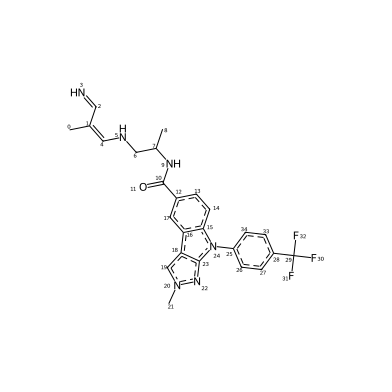 C/C(C=N)=C/NCC(C)NC(=O)c1ccc2c(c1)c1cn(C)nc1n2-c1ccc(C(F)(F)F)cc1